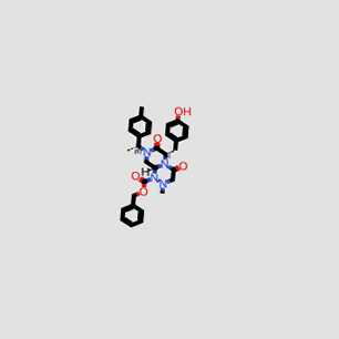 Cc1ccc([C@@H](C)N2C[C@H]3N(C(=O)CN(C)N3C(=O)OCc3ccccc3)[C@@H](Cc3ccc(O)cc3)C2=O)cc1